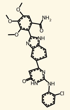 COc1cc(C(N)=O)c(-c2nc3cc(-c4cc(=O)[nH]c(Nc5ccccc5Cl)n4)ccc3[nH]2)c(OC)c1OC